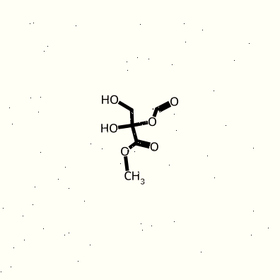 COC(=O)C(O)(CO)O[C]=O